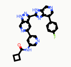 O=C(Nc1cncc(-c2cc3c(-c4nc5c(-c6ccc(F)cc6)cncc5[nH]4)n[nH]c3cn2)c1)C1CCC1